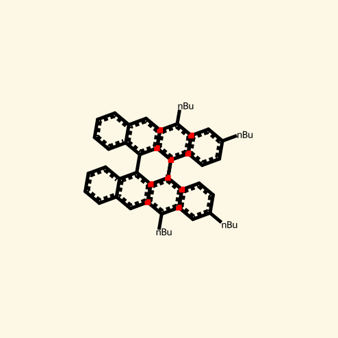 CCCCc1ccc(P(c2ccc(CCCC)cc2)c2ccc3ccccc3c2-c2c(P(c3ccc(CCCC)cc3)c3ccc(CCCC)cc3)ccc3ccccc23)cc1